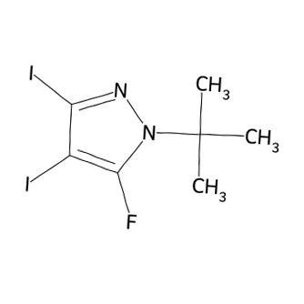 CC(C)(C)n1nc(I)c(I)c1F